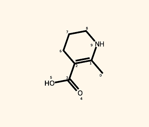 CC1=C(C(=O)O)CCCN1